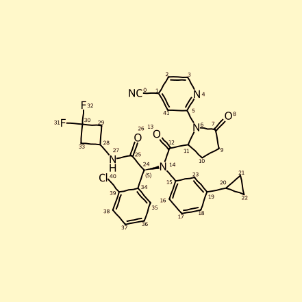 N#Cc1ccnc(N2C(=O)CCC2C(=O)N(c2cccc(C3CC3)c2)[C@H](C(=O)NC2CC(F)(F)C2)c2ccccc2Cl)c1